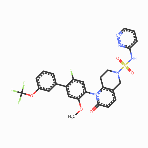 COc1cc(-c2cccc(OC(F)(F)F)c2)c(F)cc1-n1c2c(ccc1=O)CN(S(=O)(=O)Nc1cccnn1)CC2